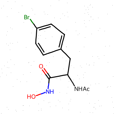 CC(=O)NC(Cc1ccc(Br)cc1)C(=O)NO